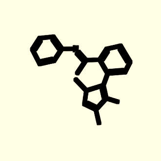 CC1=CC(C)C(c2ccccc2/C(C)=N/c2ccccc2)=C1C